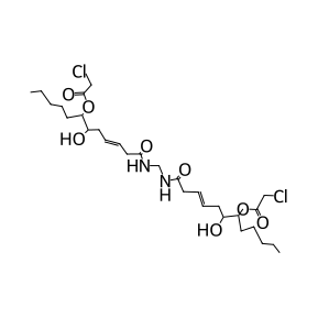 CCCCCC(OC(=O)CCl)C(O)C/C=C/CC(=O)NCNC(=O)C/C=C/CC(O)C(CCCCC)OC(=O)CCl